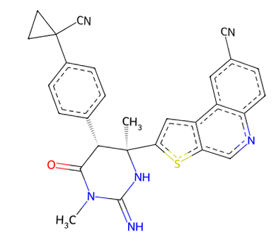 CN1C(=N)N[C@](C)(c2cc3c(cnc4ccc(C#N)cc43)s2)[C@@H](c2ccc(C3(C#N)CC3)cc2)C1=O